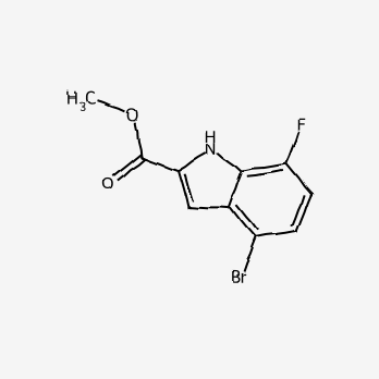 COC(=O)c1cc2c(Br)ccc(F)c2[nH]1